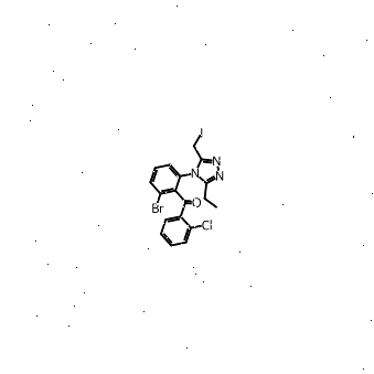 CCc1nnc(CI)n1-c1cccc(Br)c1C(=O)c1ccccc1Cl